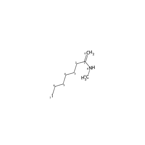 C=C(CCCCCI)NC